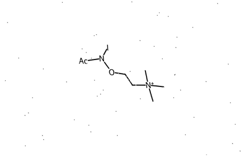 CC(=O)N(I)OCC[N+](C)(C)C